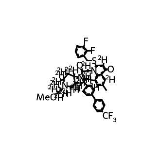 [2H]c1c(C)c([2H])c2c(=O)c([2H])c(SCc3cccc(F)c3F)n(C([2H])([2H])C(=O)N(C([2H])([2H])c3ccc(-c4ccc(C(F)(F)F)cc4)cc3)C3([2H])C([2H])([2H])C([2H])([2H])N(C([2H])([2H])C([2H])([2H])OC)C([2H])([2H])C3([2H])[2H])c2c1[2H]